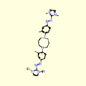 CCn1cc[n+](CC)c1/N=N/c1ccc(N2CCCN(c3ccc(/N=N/c4n(C)cc[n+]4C)cc3C)CCC2)c(C)c1